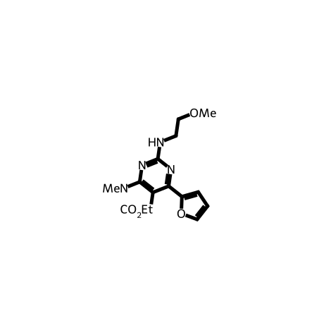 CCOC(=O)c1c(NC)nc(NCCOC)nc1-c1ccco1